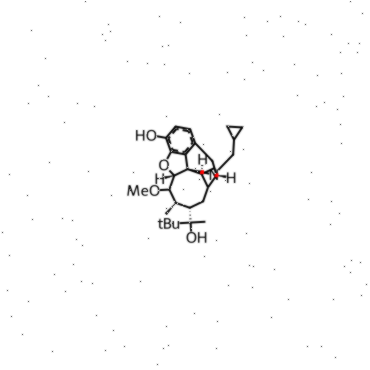 COC1[C@H](C)[C@@H](C(C)(O)C(C)(C)C)CC2[C@H]3Cc4ccc(O)c5c4[C@](CCN3CC3CC3)([C@H]2C)[C@H]1O5